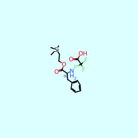 C[Si](C)(C)CCOC(=O)[C@@H](N)Cc1ccccc1.O=C(O)C(F)(F)F